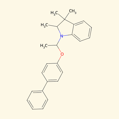 CC(Oc1ccc(-c2ccccc2)cc1)N1c2ccccc2C(C)(C)C1C